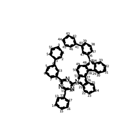 c1ccc(-c2cccc(-c3nc(-c4ccccc4)nc(-n4c5ccccc5c5c6c7ccccc7n(-c7cccc(-c8ccccc8)c7)c6ccc54)n3)c2)cc1